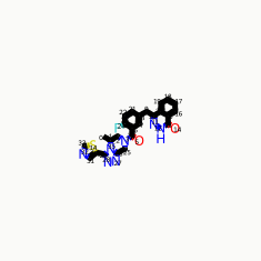 CC1CN(C(=O)c2cc(Cc3n[nH]c(=O)c4ccccc34)ccc2F)Cc2nnc(-c3cncs3)n21